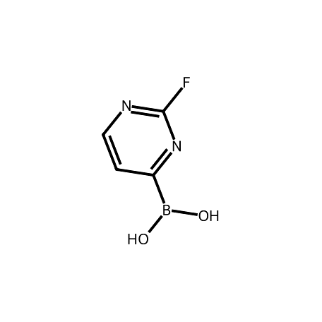 OB(O)c1ccnc(F)n1